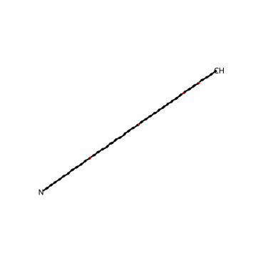 C#CC#CC#CC#CC#CC#CC#CC#CC#CC#CC#CC#CC#CC#CC#CC#CC#CC#CC#CC#CC#CC#CC#CC#CC#CC#CC#CC#CC#CC#CC#CC#CC#CC#CC#CC#CC#CC#CC#CC#CC#N